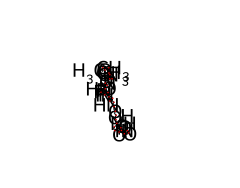 CC(C)(C)OC(=O)N(CC1CC1)c1cc(-c2nc(C(=O)Nc3cn(-c4ccc(CNCCOCCOCCNc5cccc6c5C(=O)N(C5CCC(=O)NC5=O)C6=O)cc4)nc3C(F)(F)F)co2)ccn1